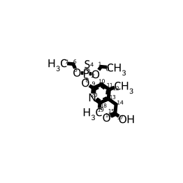 CCOP(=S)(OCC)Oc1cc(C)c(CC(=O)O)c(C)n1